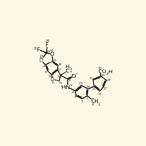 Cc1ccc(NC(=O)C2(C)COc3cc4c(cc32)OC(F)(F)O4)cc1-c1cccc(C(=O)O)c1